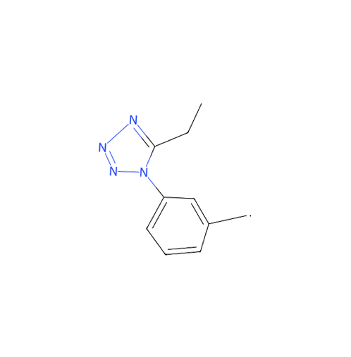 [CH2]c1cccc(-n2nnnc2CC)c1